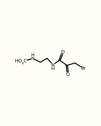 O=C(O)NCCNC(=O)C(=O)CBr